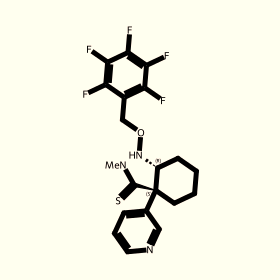 CNC(=S)[C@]1(c2cccnc2)CCCC[C@H]1NOCc1c(F)c(F)c(F)c(F)c1F